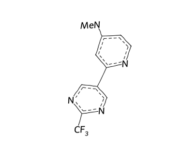 CNc1ccnc(-c2cnc(C(F)(F)F)nc2)c1